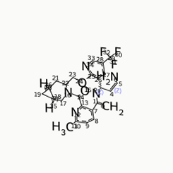 C=C(/N=C\C=C/N)c1ccc(C)nc1C(=O)N1C[C@@H]2C[C@@H]2CC1COc1ccc(C(F)(F)F)cn1